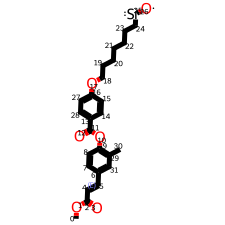 COC(=O)/C=C/c1ccc(OC(=O)c2ccc(OCCCCCCC[Si][O])cc2)c(C)c1